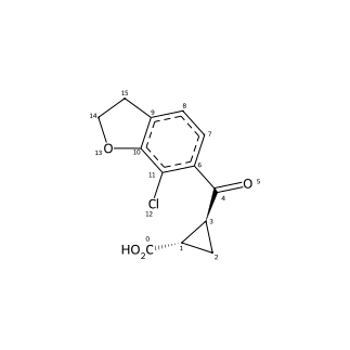 O=C(O)[C@H]1C[C@@H]1C(=O)c1ccc2c(c1Cl)OCC2